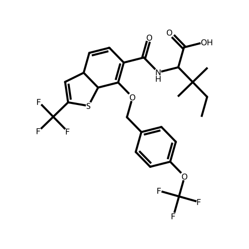 CCC(C)(C)C(NC(=O)C1=C(OCc2ccc(OC(F)(F)F)cc2)C2SC(C(F)(F)F)=CC2C=C1)C(=O)O